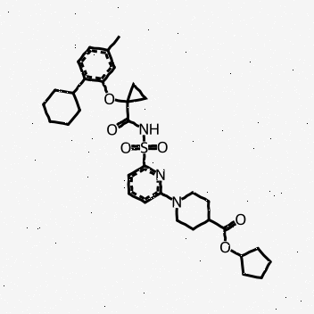 Cc1ccc(C2CCCCC2)c(OC2(C(=O)NS(=O)(=O)c3cccc(N4CCC(C(=O)OC5CCCC5)CC4)n3)CC2)c1